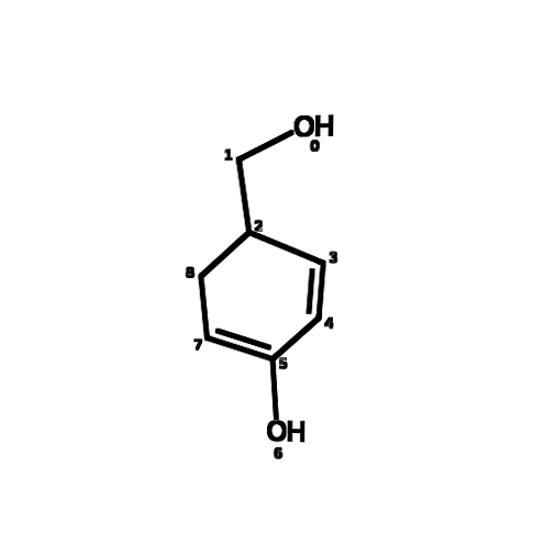 OCC1C=CC(O)=CC1